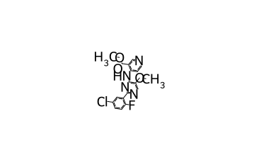 COC(=O)c1cnccc1Nc1nc(-c2cc(Cl)ccc2F)ncc1OC